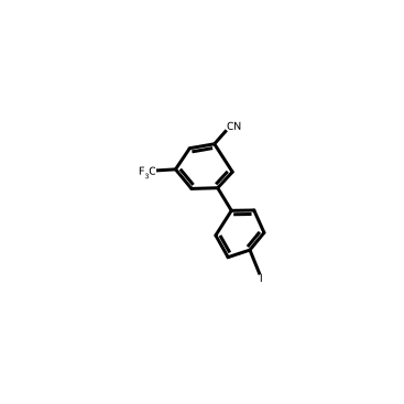 N#Cc1cc(-c2ccc(I)cc2)cc(C(F)(F)F)c1